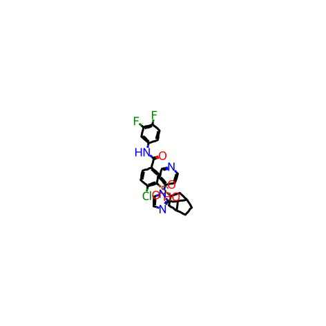 O=C(Nc1ccc(F)c(F)c1)c1ccc(Cl)c(S(=O)(=O)C2CC3CCC(C2)C3(O)c2nccn2-c2ccncc2)c1